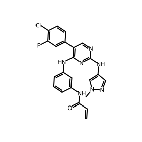 C=CC(=O)Nc1cccc(Nc2nc(Nc3cnn(C)c3)ncc2-c2ccc(Cl)c(F)c2)c1